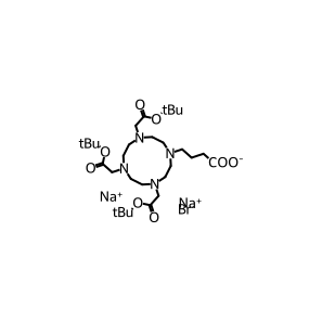 CC(C)(C)OC(=O)CN1CCN(CCCC(=O)[O-])CCN(CC(=O)OC(C)(C)C)CCN(CC(=O)OC(C)(C)C)CC1.[Br-].[Na+].[Na+]